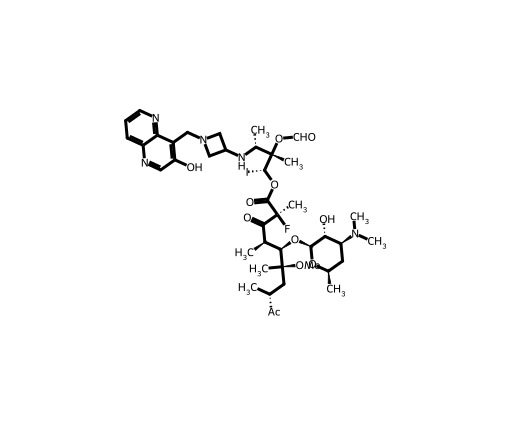 CO[C@](C)(C[C@@H](C)C(C)=O)[C@H](O[C@@H]1O[C@H](C)C[C@H](N(C)C)[C@H]1O)[C@@H](C)C(=O)[C@](C)(F)C(=O)O[C@H](I)[C@@](C)(OC=O)[C@@H](C)NC1CN(Cc2c(O)cnc3cccnc23)C1